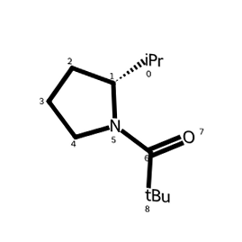 CC(C)[C@H]1CCCN1C(=O)C(C)(C)C